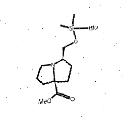 COC(=O)[C@@]12CCCN1[C@@H](CO[Si](C)(C)C(C)(C)C)CC2